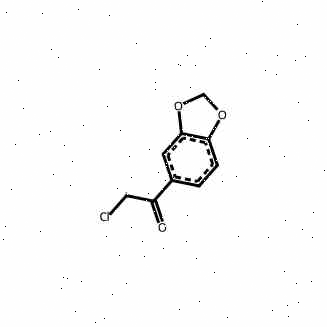 O=C([CH]Cl)c1ccc2c(c1)OCO2